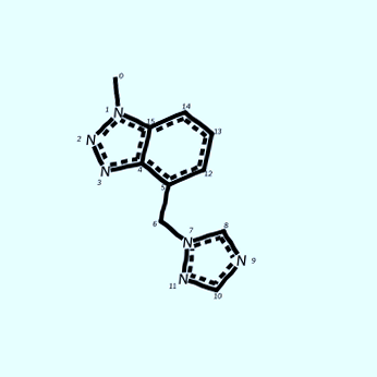 Cn1nnc2c(Cn3cncn3)cccc21